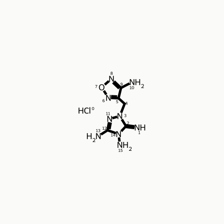 Cl.N=c1n(Cc2nonc2N)nc(N)n1N